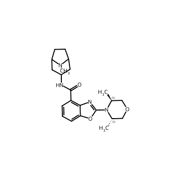 C[C@H]1COC[C@H](C)N1c1nc2c(C(=O)NC3CC4CCC(C3)N4C)cccc2o1